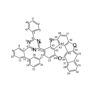 c1ccc(-c2nc(-c3ccccc3-c3ccccc3)nc(-c3ccc4oc5c6ccccc6cc6oc7ccc8sc3c4c8c7c65)n2)cc1